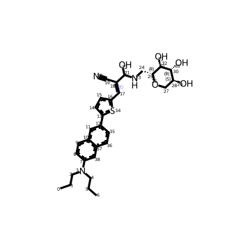 CCCN(CCC)c1ccc2cc(-c3ccc(/C=C(\C#N)C(O)NC[C@H]4OC[C@H](O)[C@@H](O)[C@@H]4O)s3)ccc2c1